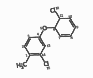 Cc1ccc(OC2C=CC=CC2Cl)cc1Cl